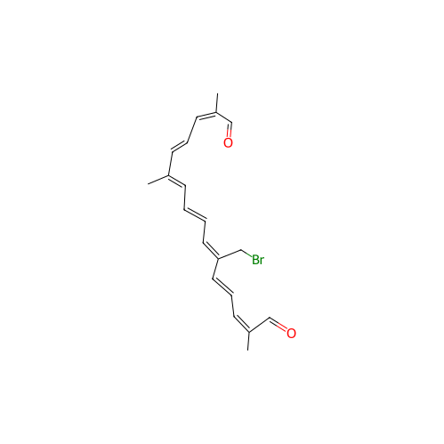 CC(C=O)=CC=CC(C)=CC=CC=C(C=CC=C(C)C=O)CBr